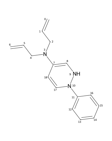 C=CCN(CC=C)C1=CNN(c2ccccc2)C=C1